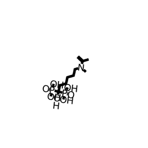 C=C(C)N(C)CCCCCC(O)(P(=O)(O)O)P(=O)(O)O